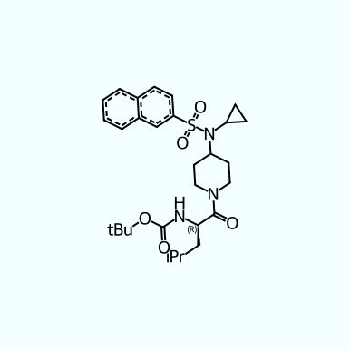 CC(C)C[C@@H](NC(=O)OC(C)(C)C)C(=O)N1CCC(N(C2CC2)S(=O)(=O)c2ccc3ccccc3c2)CC1